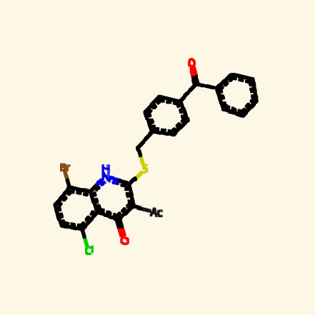 CC(=O)c1c(SCc2ccc(C(=O)c3ccccc3)cc2)[nH]c2c(Br)ccc(Cl)c2c1=O